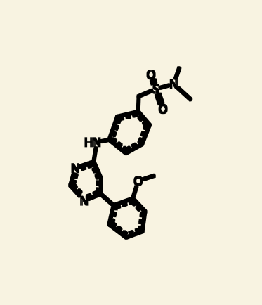 COc1ccccc1-c1cc(Nc2cccc(CS(=O)(=O)N(C)C)c2)ncn1